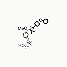 COC(c1nc(-c2ccc(Oc3ccccc3)cc2)oc1C)[C@H]1CCC[C@@H](COC(C)(C)C(=O)O)C1